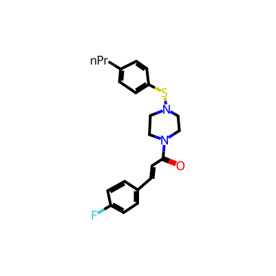 CCCc1ccc(SN2CCN(C(=O)/C=C/c3ccc(F)cc3)CC2)cc1